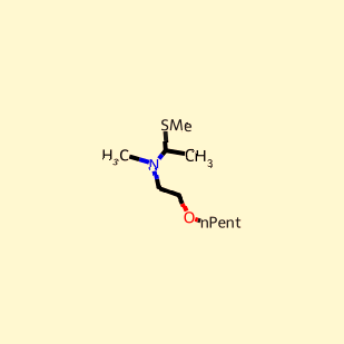 CCCCCOCCN(C)C(C)SC